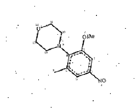 COc1cc(N=O)cc(C)c1N1CCOCC1